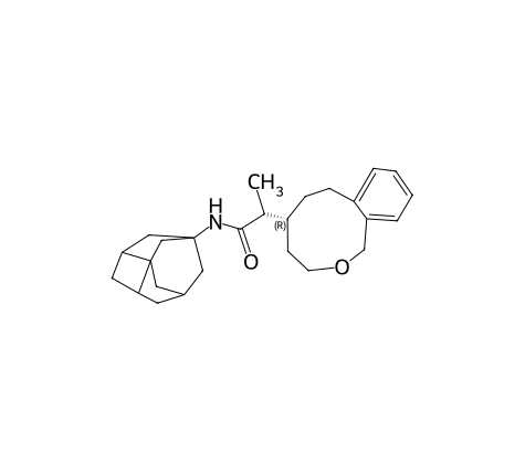 CC(C(=O)NC12CC3CC4CC(C1)C4(C3)C2)[C@H]1CCOCc2ccccc2CC1